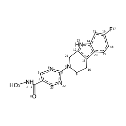 O=C(NO)c1cnc(N2CCc3c([nH]c4cc(F)ccc34)C2)nc1